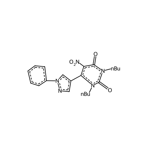 CCCCn1c(-c2cnn(-c3ccccc3)c2)c([N+](=O)[O-])c(=O)n(CCCC)c1=O